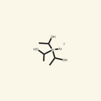 CC(=O)[N+](C(C)O)(C(C)O)C(C)O.[I-]